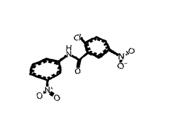 O=C(Nc1cccc([N+](=O)[O-])c1)c1cc([N+](=O)[O-])ccc1Cl